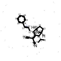 CC(C)[C@@H]1C(=C(C#N)C#N)[C@H](C/C=C/c2ccccc2)[C@H]2CC[C@@H]1N2